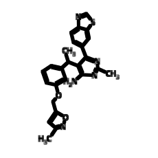 Cc1cc(COc2cccc(C(C)c3c(N)nc(C)nc3-c3ccc4ncsc4c3)c2)on1